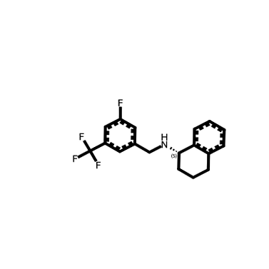 Fc1cc(CN[C@H]2CCCc3ccccc32)cc(C(F)(F)F)c1